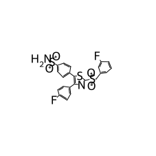 NS(=O)(=O)c1ccc(-c2sc(S(=O)(=O)Cc3cccc(F)c3)nc2-c2ccc(F)cc2)cc1